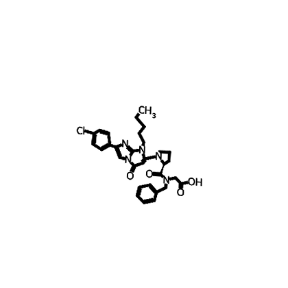 CCCCCn1c(N2CCC[C@H]2C(=O)N(CC(=O)O)Cc2ccccc2)cc(=O)n2cc(-c3ccc(Cl)cc3)nc12